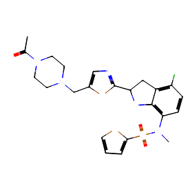 CC(=O)N1CCN(Cc2cnc(C3Cc4c(Cl)ccc(N(C)S(=O)(=O)c5cccs5)c4N3)s2)CC1